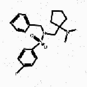 CN(C)C1(CN(Cc2ccccc2)S(=O)(=O)c2ccc(I)cc2)CCCC1